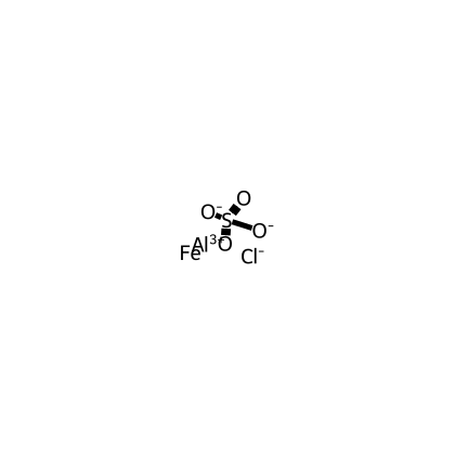 O=S(=O)([O-])[O-].[Al+3].[Cl-].[Fe]